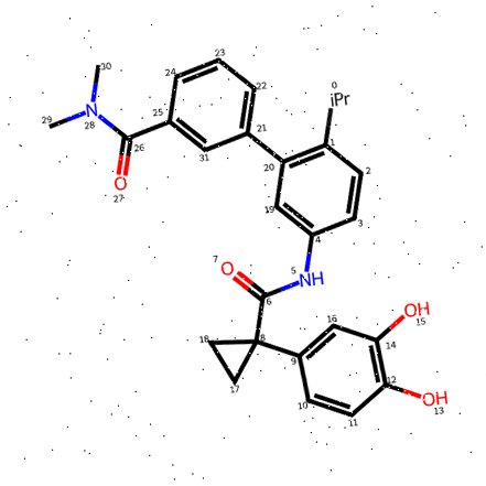 CC(C)c1ccc(NC(=O)C2(c3ccc(O)c(O)c3)CC2)cc1-c1cccc(C(=O)N(C)C)c1